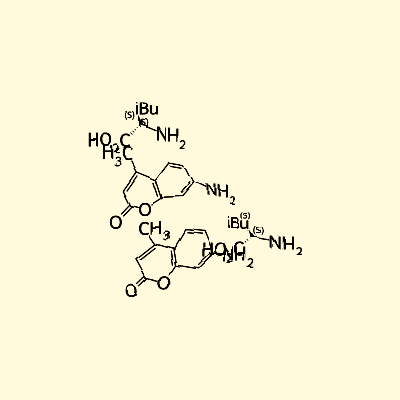 CC[C@H](C)[C@H](N)C(=O)O.CC[C@H](C)[C@H](N)C(=O)O.Cc1cc(=O)oc2cc(N)ccc12.Cc1cc(=O)oc2cc(N)ccc12